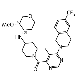 CO[C@@H]1COCC[C@@H]1NC1CCN(C(=O)c2ncnc(N3CCc4cc(C(F)(F)F)ccc4C3)c2C)CC1